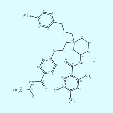 COc1ccc(CCC[N+]2(CCCc3ccc(C(=O)NC(C)C(=O)O)cc3)CCCC(NC(=O)c3nc(Cl)c(N)nc3N)C2)cc1.[Cl-]